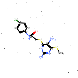 CSc1nc(N)nc(SCC(=O)Nc2ccc(Cl)cc2)c1N